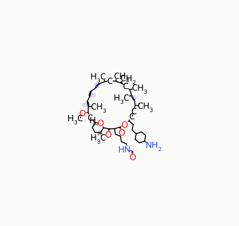 C=C1CC(C)/C(C)=C/C(C)CCC(CCC2CCC(N)CC2)OC(=O)C(CCCCNC=O)C(=O)C2O[C@@H](CC[C@H]2C)CC(OC)/C(C)=C/C=C/C=C/C(C)CC1C